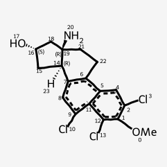 COc1c(Cl)cc2c3c(cc(Cl)c2c1Cl)[C@H]1C[C@H](O)C[C@]1(N)CC3